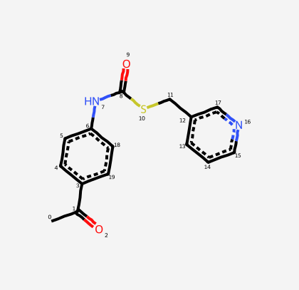 CC(=O)c1ccc(NC(=O)SCc2cccnc2)cc1